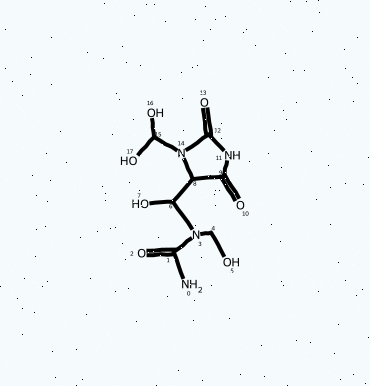 NC(=O)N(CO)C(O)C1C(=O)NC(=O)N1C(O)O